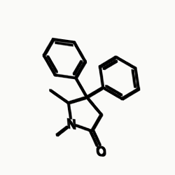 CC1N(C)C(=O)CC1(c1ccccc1)c1ccccc1